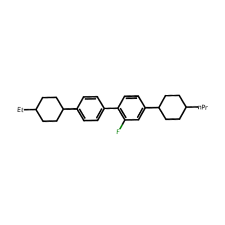 CCCC1CCC(c2ccc(-c3ccc(C4CCC(CC)CC4)cc3)c(F)c2)CC1